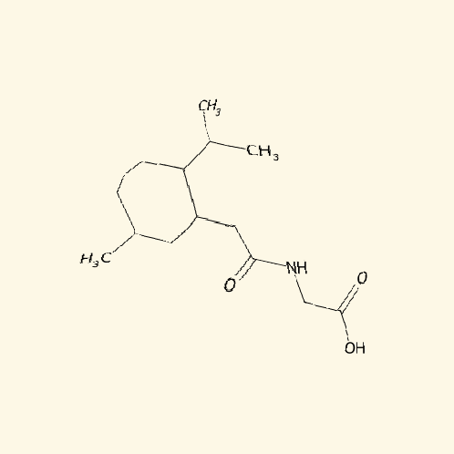 CC1CCC(C(C)C)C(CC(=O)NCC(=O)O)C1